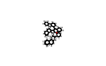 c1ccc(-c2nc3ccc4ccccc4c3nc2-n2c3cc4ccccc4c4c5cccc6c7ccccc7n(c7cc8ccccc8c2c7c43)c65)cc1